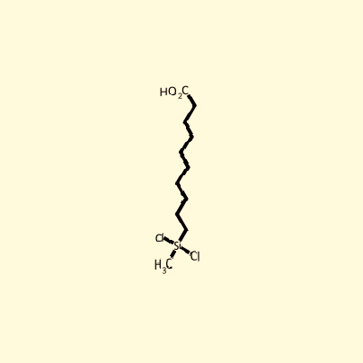 C[Si](Cl)(Cl)CCCCCCCCCC(=O)O